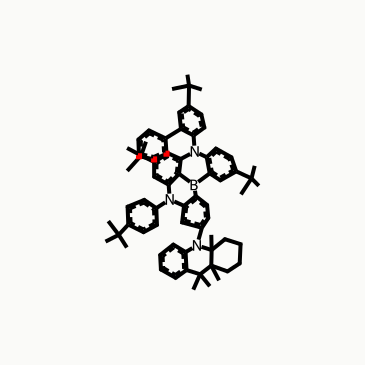 CC(C)(C)c1ccc(N2c3cc(N4c5ccccc5C(C)(C)C5(C)CCCCC45C)ccc3B3c4cc(C(C)(C)C)ccc4N(c4ccc(C(C)(C)C)cc4-c4ccccc4)c4cc(C(C)(C)C)cc2c43)cc1